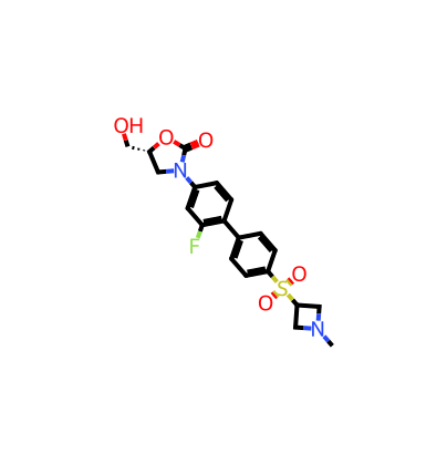 CN1CC(S(=O)(=O)c2ccc(-c3ccc(N4C[C@H](CO)OC4=O)cc3F)cc2)C1